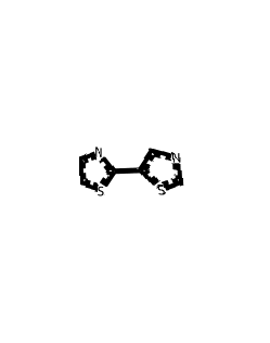 c1csc(-c2cncs2)n1